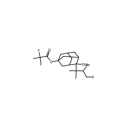 COC1(C(C)(F)C(F)CF)C2CC3CC1CC(OC(=O)C(C)(F)F)(C3)C2